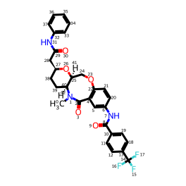 CN1C(=O)c2cc(NC(=O)c3ccc(C(F)(F)F)cc3)ccc2OC[C@@H]2O[C@H](CC(=O)Nc3ccccc3)CC[C@@H]21